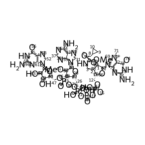 CO[C@@H]1[C@H](CNS(=O)(=O)C2CC2)[C@@H](COP(=O)(O)OP(=O)(O)OP(=O)(O)OC[C@H]2O[C@@H](n3cnc4c(N)ncnc43)[C@H](OC)[C@@H]2P(=O)([O-])OC[C@H]2O[C@@H](n3cnc4c(=O)[nH]c(N)nc43)[C@H](O)[C@@H]2O)O[C@H]1n1c[n+](C)c2c(=O)[nH]c(N)nc21